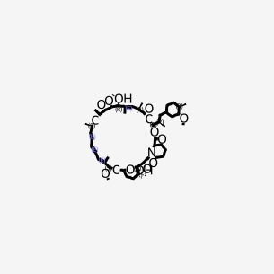 COC1CC(C[C@@H](C)[C@@H]2CC(=O)[C@H](C)/C=C(\C)[C@@H](O)C(OC)C(=O)C(C)C[C@H](C)/C=C/C=C/C=C(\C)[C@@H](OC)CC3CC[C@@H](C)[C@@](O)(O3)C(=O)C(=O)N3CCCCC3C(=O)O2)CC[C@H]1C